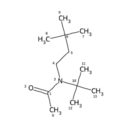 CC(=O)N(CCC(C)(C)C)C(C)(C)C